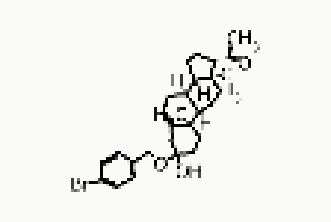 CC(=O)[C@H]1CC[C@H]2[C@@H]3CC=C4CC(O)(OCc5ccc(Br)cc5)CC[C@]4(C)[C@H]3CC[C@]12C